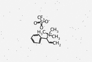 C=CC(c1ccccc1)[N+](C)(C)C.O=S(=O)([O-])C(F)(F)F